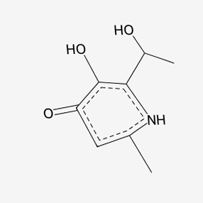 Cc1cc(=O)c(O)c(C(C)O)[nH]1